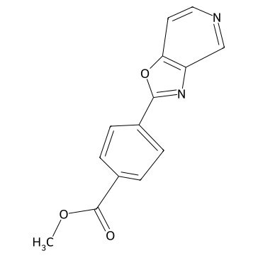 COC(=O)c1ccc(-c2nc3cnccc3o2)cc1